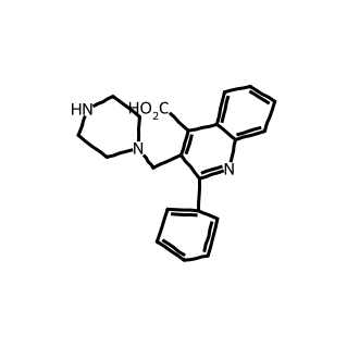 O=C(O)c1c(CN2CCNCC2)c(-c2ccccc2)nc2ccccc12